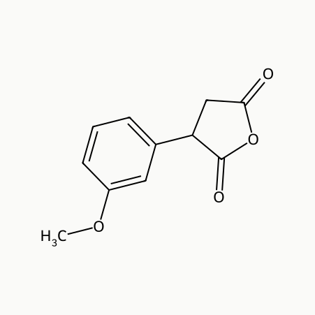 COc1cccc(C2CC(=O)OC2=O)c1